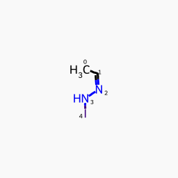 C/C=N\NI